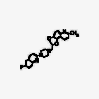 Cc1ccc2c3c(ccc2n1)OCC(CN1CCN(c2ccc4cc(F)ccc4n2)CC1)O3